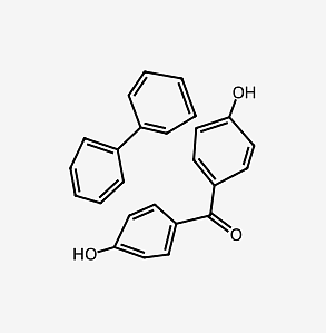 O=C(c1ccc(O)cc1)c1ccc(O)cc1.c1ccc(-c2ccccc2)cc1